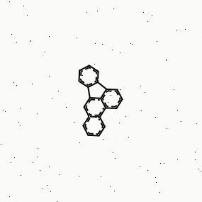 [c]1ccc2c3c1-c1ccccc1-c3cc1ccccc12